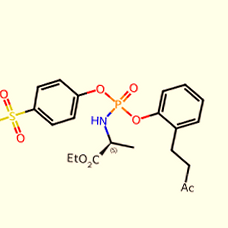 CCOC(=O)[C@H](C)NP(=O)(Oc1ccc(S(C)(=O)=O)cc1)Oc1ccccc1CCC(C)=O